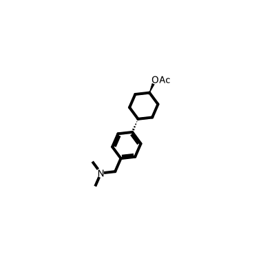 CC(=O)O[C@H]1CC[C@H](c2ccc(CN(C)C)cc2)CC1